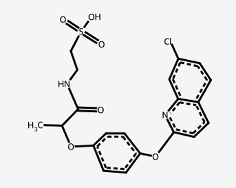 CC(Oc1ccc(Oc2ccc3ccc(Cl)cc3n2)cc1)C(=O)NCCS(=O)(=O)O